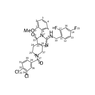 COc1ccccc1-n1c(NCc2ccc(F)cc2F)nc2c(c1=O)CCN(C(=O)c1ccc(Cl)c(Cl)c1)C2